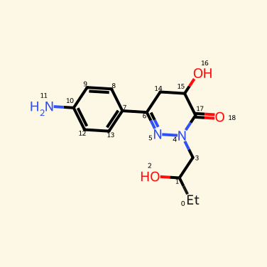 CCC(O)CN1N=C(c2ccc(N)cc2)CC(O)C1=O